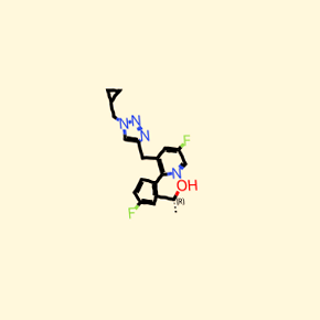 C[C@@H](O)c1cc(F)ccc1-c1ncc(F)cc1Cc1cn(CC2CC2)nn1